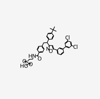 CC(C)(C)c1ccc(C(Cc2ccc(C(=O)NCCS(=O)(=O)O)cc2)c2cc(-c3cccc(-c4cc(Cl)cc(Cl)c4)c3)on2)cc1